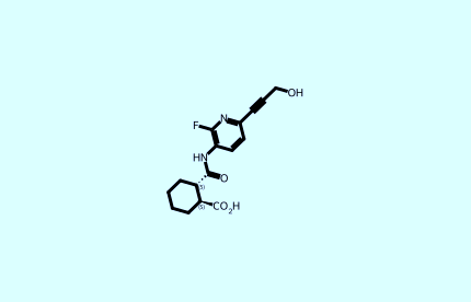 O=C(O)[C@H]1CCCC[C@@H]1C(=O)Nc1ccc(C#CCO)nc1F